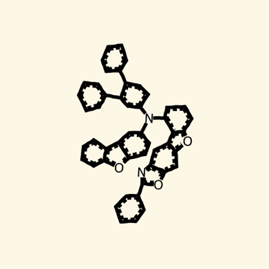 c1ccc(-c2nc3cc4c(cc3o2)oc2cccc(N(c3ccc(-c5ccccc5)c(-c5ccccc5)c3)c3ccc5oc6ccccc6c5c3)c24)cc1